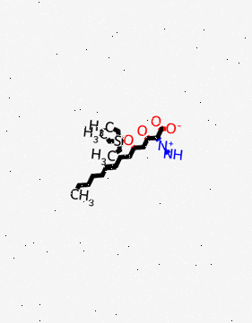 CCCCCC=CCCC(CC(=O)C(=[N+]=N)C(=O)[O-])O[Si](CC)(CC)CC